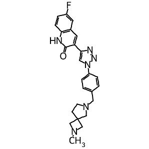 CN1CC2(CCN(Cc3ccc(-n4cc(-c5cc6cc(F)ccc6[nH]c5=O)nn4)cc3)C2)C1